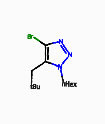 CCCCCCn1nnc(Br)c1CC(C)(C)C